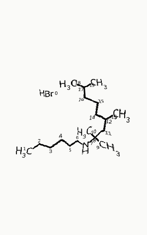 Br.CCCCCCNC(C)(C)CC(C)CCCC(C)C